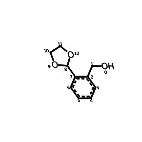 OCc1ccccc1C1OCCO1